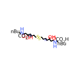 CCCCC(NC(=O)CC(O)/C=C/CCSSCC/C=C/C(O)CC(=O)NC(CCCC)C(=O)O)C(=O)O